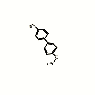 CCCOc1ccc(-c2ccc(CCC)cc2)cc1